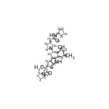 C=C(C(=O)N1C2CCC1CC2)c1cc2c(CCN3CCC(CC(=O)NC4CCCC4)C3)c(-c3cc(C)cc(C)c3)[nH]c2s1